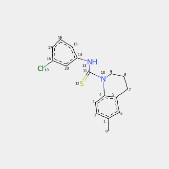 Cc1ccc2c(c1)CCCN2C(=S)Nc1cccc(Cl)c1